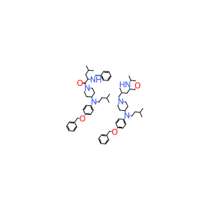 CC(C)CCN(c1ccc(OCc2ccccc2)cc1)C1CCN(C(=O)C(CC(C)C)NCc2ccccc2)CC1.CC(C)CCN(c1ccc(OCc2ccccc2)cc1)C1CCN(CC(C)CC(C=O)NC(C)C)CC1